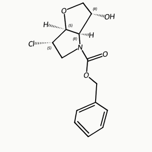 O=C(OCc1ccccc1)N1C[C@H](Cl)[C@H]2OC[C@H](O)[C@H]21